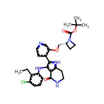 CCc1c(Cl)cccc1Nc1c(-c2ccncc2OC[C@H]2CCN2C(=O)OC(C)(C)C)[nH]c2c1C(=O)NCC2